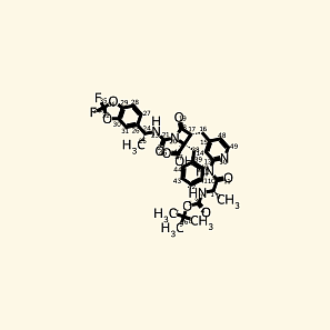 C[C@H](NC(=O)OC(C)(C)C)C(=O)Nc1cc(C[C@H]2C(=O)N(C(=O)N[C@H](C)c3ccc4c(c3)OC(F)(F)O4)[C@]2(Cc2ccccc2)C(=O)O)ccn1